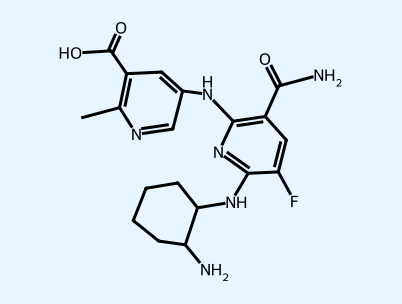 Cc1ncc(Nc2nc(NC3CCCCC3N)c(F)cc2C(N)=O)cc1C(=O)O